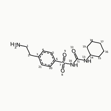 NCCc1ccc(S(=O)(=O)NC(=O)NC2CCCCC2)cc1